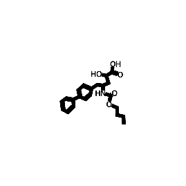 CCCCOC(=O)NC(Cc1ccc(-c2ccccc2)cc1)CC(O)C(=O)O